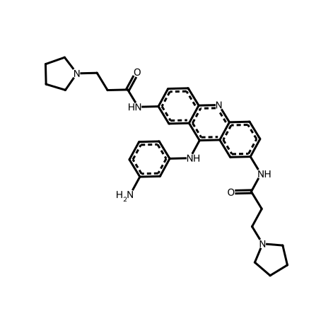 Nc1cccc(Nc2c3cc(NC(=O)CCN4CCCC4)ccc3nc3ccc(NC(=O)CCN4CCCC4)cc23)c1